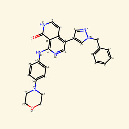 O=c1[nH]ccc2c(-c3cnn(Cc4ccccc4)c3)cnc(Nc3ccc(N4CCOCC4)cc3)c12